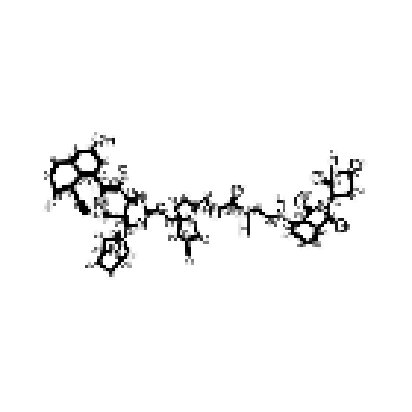 C#Cc1c(F)ccc2cc(O)cc(-c3ncc4c(N5CC6CCC(C5)N6)nc(OC[C@@]56CC[C@@H](COC(=O)NCCNc7cccc8c7C(=O)N(C7CCC(=O)NC7=O)C8=O)N5CC(=C)C6)nc4c3F)c12